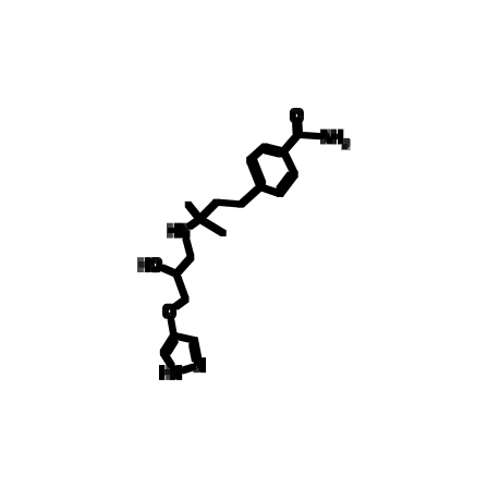 CC(C)(CCc1ccc(C(N)=O)cc1)NCC(O)COc1cn[nH]c1